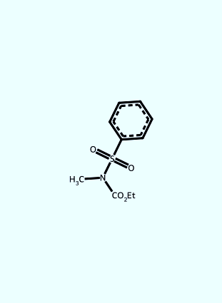 CCOC(=O)N(C)S(=O)(=O)c1ccccc1